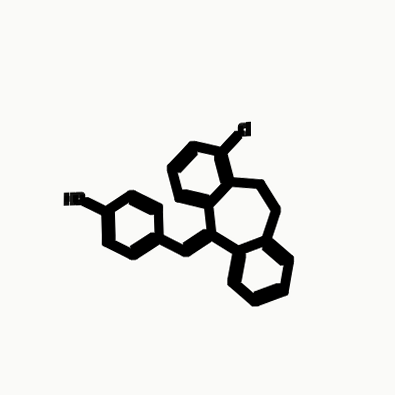 Oc1ccc(C=C2c3ccccc3CCc3c(Cl)cccc32)cc1